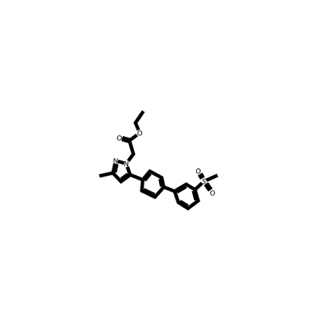 CCOC(=O)Cn1nc(C)cc1-c1ccc(-c2cccc(S(C)(=O)=O)c2)cc1